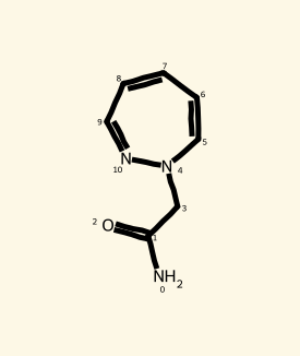 NC(=O)CN1C=CC=CC=N1